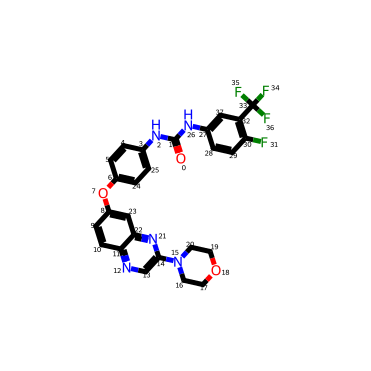 O=C(Nc1ccc(Oc2ccc3ncc(N4CCOCC4)nc3c2)cc1)Nc1ccc(F)c(C(F)(F)F)c1